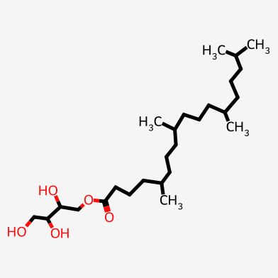 CC(C)CCCC(C)CCCC(C)CCCC(C)CCCC(=O)OCC(O)C(O)CO